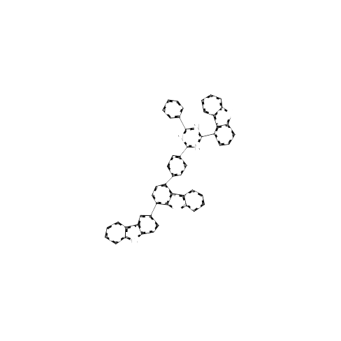 c1ccc(-c2nc(-c3ccc(-c4ccc(-c5ccc6oc7ccccc7c6c5)c5oc6ccccc6c45)cc3)nc(-c3cccc4oc5ccccc5c34)n2)cc1